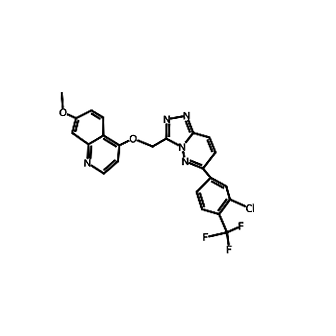 COc1ccc2c(OCc3nnc4ccc(-c5ccc(C(F)(F)F)c(Cl)c5)nn34)ccnc2c1